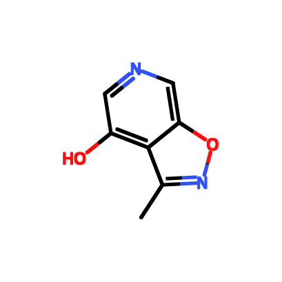 Cc1noc2cncc(O)c12